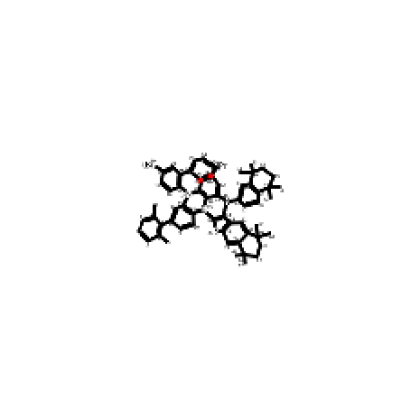 Cc1cccc(C)c1-c1ccc2c(c1)N(c1ccc(C(C)(C)C)cc1-c1ccccc1)c1cc(C(C)C)cc3c1B2c1sc2cc4c(cc2c1N3c1ccc2c(c1)C(C)(C)CCC2(C)C)C(C)(C)CCC4(C)C